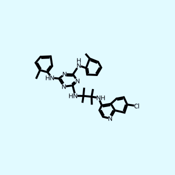 Cc1ccccc1Nc1nc(Nc2ccccc2C)nc(NC(C)(C)C(C)(C)Nc2ccnc3cc(Cl)ccc23)n1